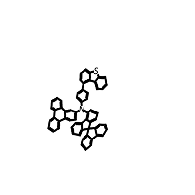 c1ccc2c(c1)-c1ccccc1C21c2ccccc2-c2c(N(c3ccc(-c4cccc5sc6ccccc6c45)cc3)c3ccc4c5ccccc5c5ccccc5c4c3)cccc21